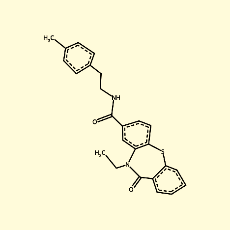 CCN1C(=O)c2ccccc2Sc2ccc(C(=O)NCCc3ccc(C)cc3)cc21